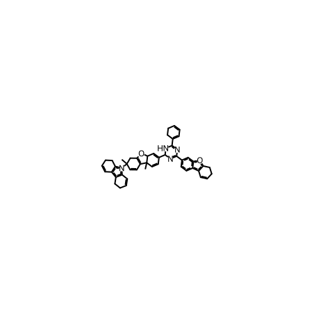 CC12C=CC(C3N=C(c4ccc5c6c(oc5c4)CCC=C6)N=C(C4=CC=CCC4)N3)=CC1OC1=C2C=CC(C)(n2c3c(c4c2CCC=C4)CCC=C3)C1